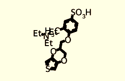 CCN(CC)CC.Cc1cc(S(=O)(=O)O)ccc1OCC1COc2cscc2O1